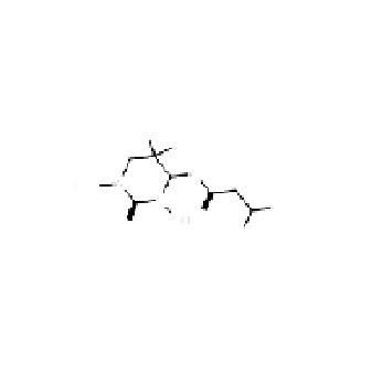 CC(C)CC(=O)OC1N(O)C(=O)N(C)CC1(F)F